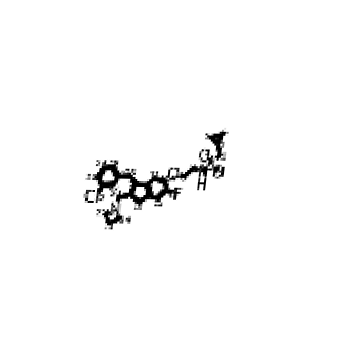 O=S(=O)(CC1CC1)NCCOc1cc2c(cc1F)CC(CN1CCC1)C2Cc1cccc(Cl)c1